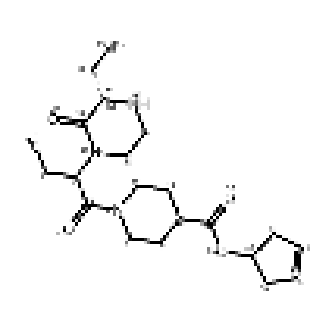 CC(C)CC(C(=O)N1CCC(C(=O)OC2CC=CC2)CC1)N1CCN[C@@H](CC(C)C)C1=O